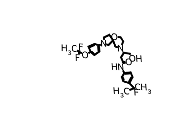 CC(F)(F)Oc1ccc(N2CCC3(C2)CN(C(CO)CC(=O)Nc2ccc(C(C)(C)F)cc2)CCO3)cc1